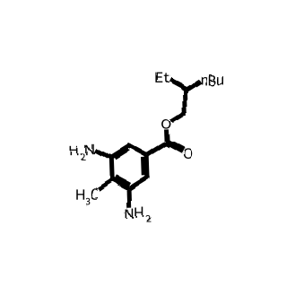 CCCCC(CC)COC(=O)c1cc(N)c(C)c(N)c1